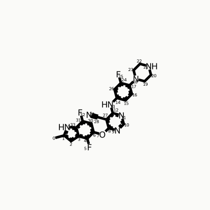 Cc1cc2c(F)c(Oc3ncnc(Nc4ccc(N5CCNCC5)c(F)c4)c3C#N)cc(F)c2[nH]1